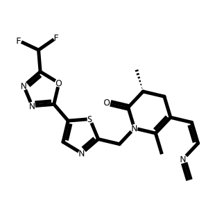 C=N/C=C\C1=C(C)N(Cc2ncc(-c3nnc(C(F)F)o3)s2)C(=O)[C@H](C)C1